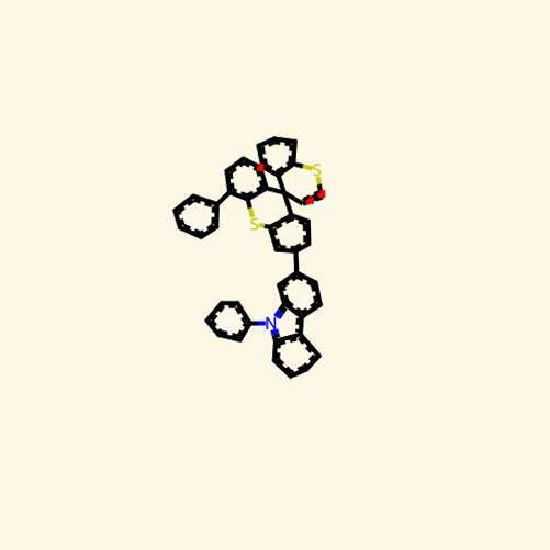 c1ccc(-c2cccc3c2Sc2cc(-c4ccc5c6ccccc6n(-c6ccccc6)c5c4)ccc2C32c3ccccc3Sc3ccccc32)cc1